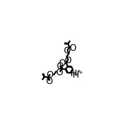 C=C(C)C(=O)OCCOC(=O)c1ccccc1C(=O)OCCOC(=O)C(=C)C.[H+].[H+]